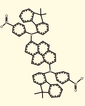 CC1(C)c2ccccc2-c2c(N(c3ccc([N+](=O)[O-])cc3)c3ccc4ccc5c(N(c6ccc([N+](=O)[O-])cc6)c6cccc7c6-c6ccccc6C7(C)C)ccc6ccc3c4c65)cccc21